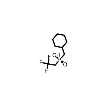 O=P(O)(CC1CCCCC1)CC(F)(F)F